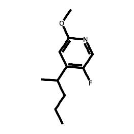 CCCC(C)c1cc(OC)ncc1F